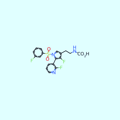 O=C(O)NCCc1cn(S(=O)(=O)c2cccc(F)c2)c(-c2cccnc2F)c1F